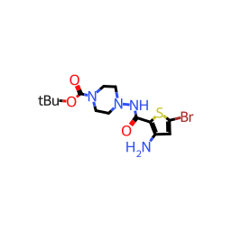 CC(C)(C)OC(=O)N1CCN(NC(=O)c2sc(Br)cc2N)CC1